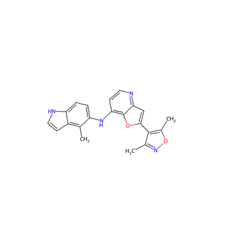 Cc1noc(C)c1-c1cc2nccc(Nc3ccc4[nH]ccc4c3C)c2o1